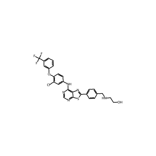 OCCNCc1ccc(-c2nc3c(Nc4ccc(Oc5cccc(C(F)(F)F)c5)c(Cl)c4)ncnc3s2)cc1